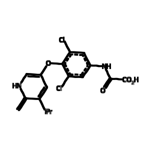 C=C1NC=C(Oc2c(Cl)cc(NC(=O)C(=O)O)cc2Cl)C=C1C(C)C